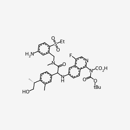 CCS(=O)(=O)c1ccc(N)cc1CN(C)C(=O)C(Nc1ccc2c(N(C(=O)O)C(=O)OC(C)(C)C)ncc(F)c2c1)c1ccc([C@@H](C)CO)c(C)c1